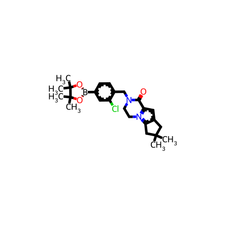 CC1(C)Cc2cc3n(c2C1)CCN(Cc1ccc(B2OC(C)(C)C(C)(C)O2)cc1Cl)C3=O